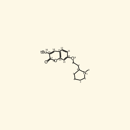 CN1CCCCC1CCOc1ccc2cc(C(C)(C)C)c(=O)oc2c1